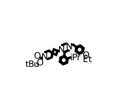 CCOc1ccc(CN2CCN(C3CC4(CCN(C(=O)OC(C)(C)C)CC4)C3)C(c3ccccc3C(C)C)C2)cc1